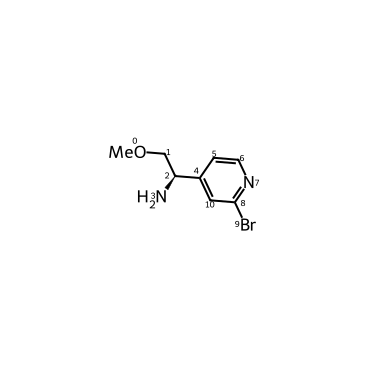 COC[C@H](N)c1ccnc(Br)c1